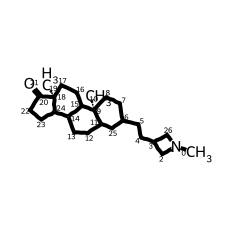 CN1CC(CCC2CC[C@@]3(C)C(CCC4C3CC[C@]3(C)C(=O)CCC43)C2)C1